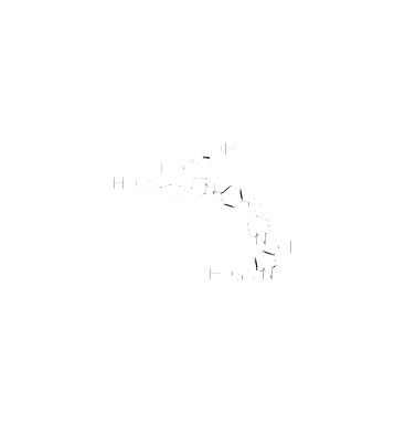 CCCCO[C@H]1CN(c2ccc(OC3CCN(c4cc(OC)ncc4Cl)CC3)cc2)[C@@H](CC(=O)O)[C@@H]1C